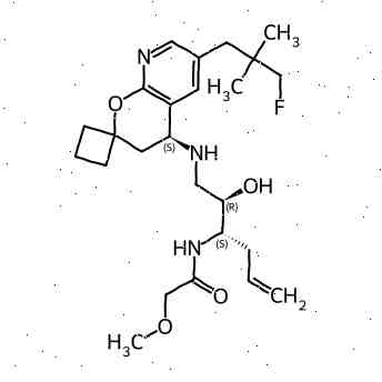 C=CC[C@H](NC(=O)COC)[C@H](O)CN[C@H]1CC2(CCC2)Oc2ncc(CC(C)(C)CF)cc21